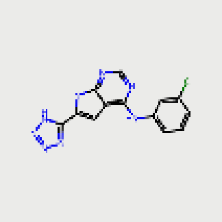 Clc1cccc(Nc2ncnc3[nH]c(-c4nnn[nH]4)cc23)c1